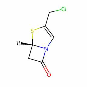 O=C1C[C@@H]2SC(CCl)=CN12